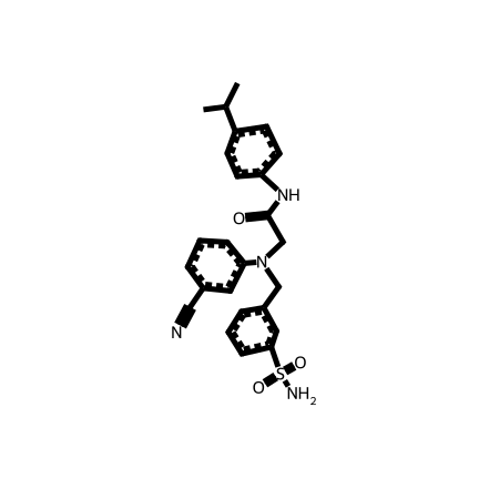 CC(C)c1ccc(NC(=O)CN(Cc2cccc(S(N)(=O)=O)c2)c2cccc(C#N)c2)cc1